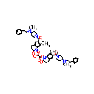 Cc1cc2c(cc1C(=O)N1CCC(N(C)CCc3ccccc3)CC1)CCC(=O)N2OC(=O)C(=O)ON1C(=O)CCc2cc(C(=O)N3CCC(N(C)CCc4ccccc4)CC3)c(C)cc21